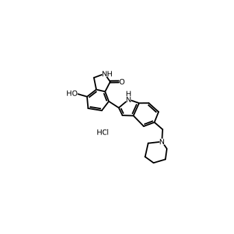 Cl.O=C1NCc2c(O)ccc(-c3cc4cc(CN5CCCCC5)ccc4[nH]3)c21